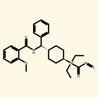 CC[N+](CC)(C(=O)N=S)[C@H]1CC[C@H](C(NC(=O)c2ccccc2OC)c2ccccc2)CC1